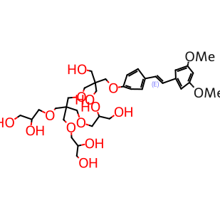 COc1cc(/C=C/c2ccc(OCC(CO)(CO)COCC(COCC(O)CO)(COCC(O)CO)COCC(O)CO)cc2)cc(OC)c1